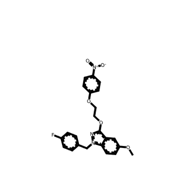 COc1ccc2c(c1)c(OCCOc1ccc([N+](=O)[O-])cc1)nn2Cc1ccc(F)cc1